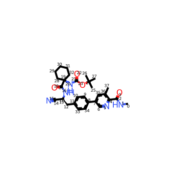 CNC(=O)c1ncc(-c2ccc(C[C@@H](C#N)NC(=O)C3(NC(=O)OC(C)(C)C)CCCCC3)cc2)cc1C